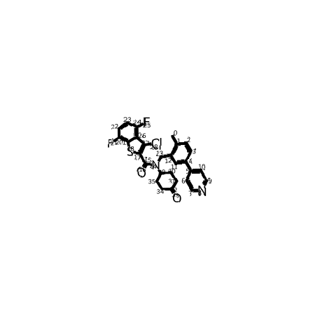 Cc1ccc(-c2ccncc2)cc1CN(C(=O)c1sc2c(F)ccc(F)c2c1Cl)C1CCC(=O)CC1